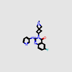 CN1CC2(CC(n3c(Nc4cccnc4)nc4ccc(F)cc4c3=O)C2)C1